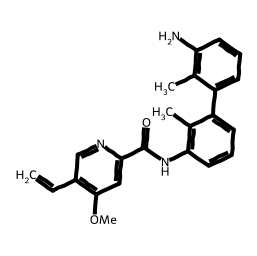 C=Cc1cnc(C(=O)Nc2cccc(-c3cccc(N)c3C)c2C)cc1OC